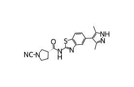 Cc1n[nH]c(C)c1-c1ccc2sc(NC(=O)[C@@H]3CCN(C#N)C3)nc2c1